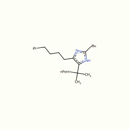 CCCCCC(C)(C)c1[nH]c(C(C)CC)nc1CCCCC(C)C